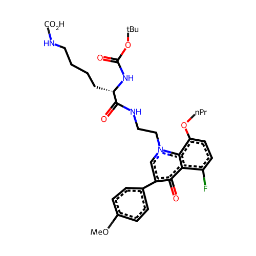 CCCOc1ccc(F)c2c(=O)c(-c3ccc(OC)cc3)cn(CCNC(=O)[C@H](CCCCNC(=O)O)NC(=O)OC(C)(C)C)c12